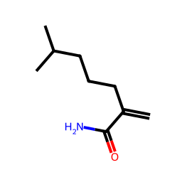 C=C(CCCC(C)C)C(N)=O